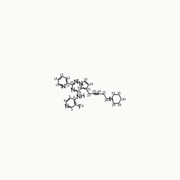 Fc1cnccc1Nc1nc(-c2ccccn2)nn2ccc(CC#CCCN3CCCCC3)c12